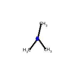 CCCCCCCCCCCCCCCCN1C=CN(CCCCCCCCCCCCCC)C1CCCCCCCCCCCCCC